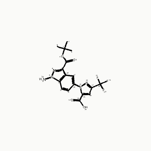 CC(C)(C)OC(=O)c1nn(N)c2ccc(-n3nc(C(F)(F)F)cc3C(=O)O)cc12